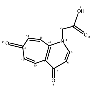 O=C(O)Cn1ccc(=O)c2ccc(=O)ccc21